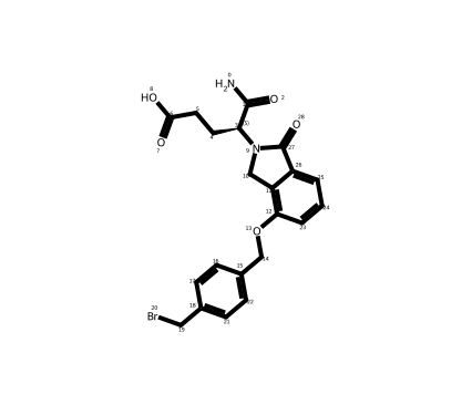 NC(=O)[C@H](CCC(=O)O)N1Cc2c(OCc3ccc(CBr)cc3)cccc2C1=O